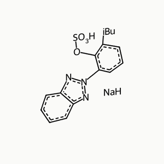 CCC(C)c1cccc(-n2nc3ccccc3n2)c1OS(=O)(=O)O.[NaH]